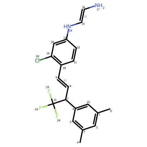 Cc1cc(C)cc(C(/C=C/c2ccc(N/C=C/N)cc2Cl)C(F)(F)F)c1